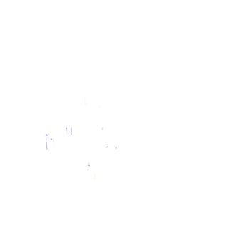 C=C(F)/C=C(\C=N\SNCC(C)CC)C(=C/CC)/S[C@](C)(S)C(CC)COCCCCCCCCCCCC